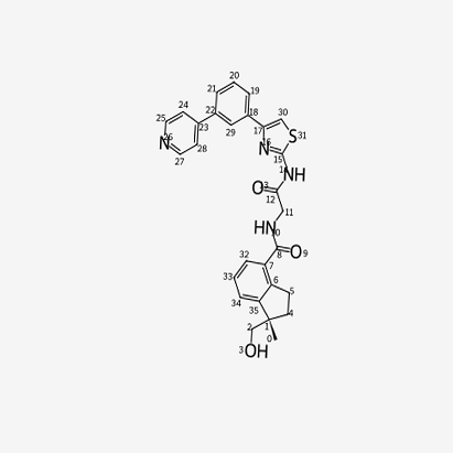 C[C@]1(CO)CCc2c(C(=O)NCC(=O)Nc3nc(-c4cccc(-c5ccncc5)c4)cs3)cccc21